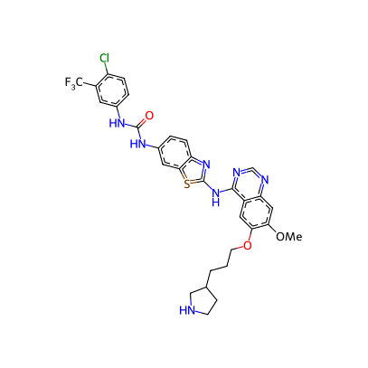 COc1cc2ncnc(Nc3nc4ccc(NC(=O)Nc5ccc(Cl)c(C(F)(F)F)c5)cc4s3)c2cc1OCCCC1CCNC1